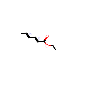 C/C=C/C=C/C(=O)OCC